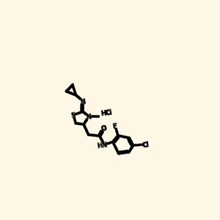 CN1/C(=N/C2CC2)SCC1CC(=O)Nc1ccc(Cl)cc1F.Cl